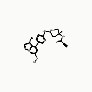 C#CC(=O)NC1(C)CCC(Nc2ccc(-c3cc(OCC)cn4ncc(C#N)c34)cn2)NC1